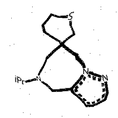 CC(C)N1Cc2ccnn2CC2(CCSC2)C1